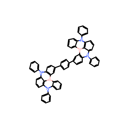 c1ccc(N2c3ccccc3B3c4cc(-c5ccc(-c6ccc7c(c6)B6c8ccccc8N(c8ccccc8)c8cccc(c86)N7c6ccccc6)cc5)ccc4N(c4ccccc4)c4cccc2c43)cc1